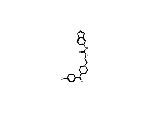 O=C(Nc1ccc2sccc2c1)OCCN1CCC(C(=O)c2ccc(Cl)cc2)CC1